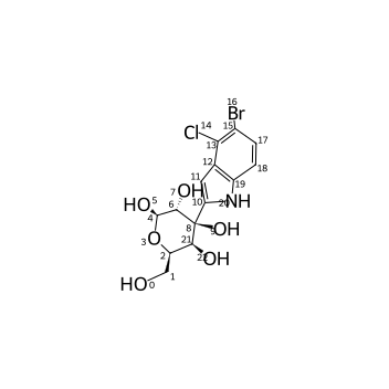 OC[C@H]1O[C@@H](O)[C@H](O)[C@](O)(c2cc3c(Cl)c(Br)ccc3[nH]2)[C@H]1O